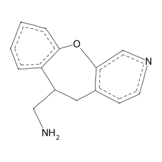 NCC1Cc2ccncc2Oc2ccccc21